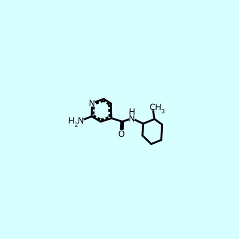 CC1CCCCC1NC(=O)c1ccnc(N)c1